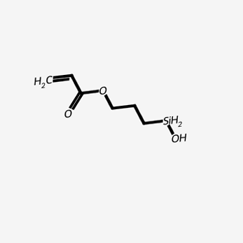 C=CC(=O)OCCC[SiH2]O